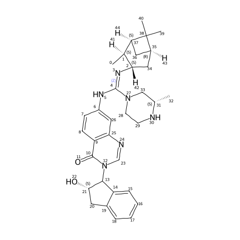 C[C@@H]1[C@@H](/N=C(/Nc2ccc3c(=O)n(C4c5ccccc5C[C@@H]4O)cnc3c2)N2CCN[C@@H](C)C2)C[C@H]2C[C@@H]1C2(C)C